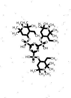 CCC1C(OP(=O)(O)c2nc(P(=O)(O)OC3CC(C)(C)N(C)C(C)(C)C3CC)nc(P(=O)(O)OC3CC(C)(C)N(C)C(C)(C)C3CC)n2)CC(C)(C)N(C)C1(C)C